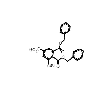 CCCCc1cc(C(=O)O)cc(C(=O)OCc2ccccc2)c1C(=O)OCc1ccccc1